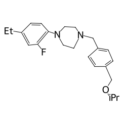 CCc1ccc(N2CCN(Cc3ccc(COC(C)C)cc3)CC2)c(F)c1